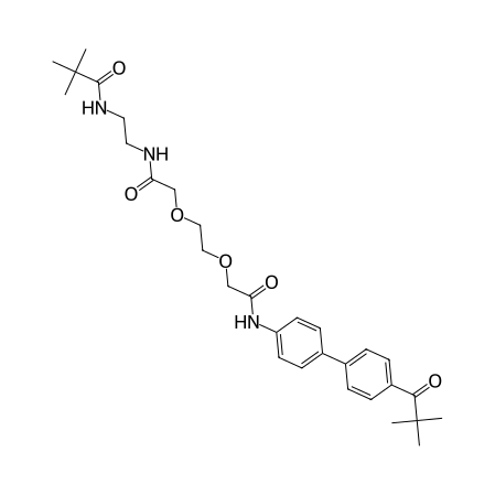 CC(C)(C)C(=O)NCCNC(=O)COCCOCC(=O)Nc1ccc(-c2ccc(C(=O)C(C)(C)C)cc2)cc1